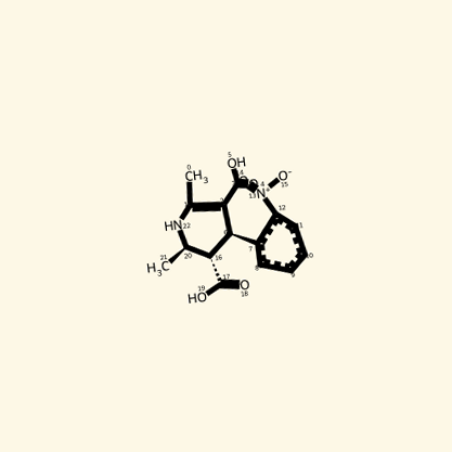 CC1=C(C(=O)O)[C@@H](c2ccccc2[N+](=O)[O-])[C@H](C(=O)O)[C@@H](C)N1